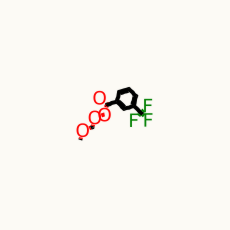 COCOOC(=O)c1cccc(C(F)(F)F)c1